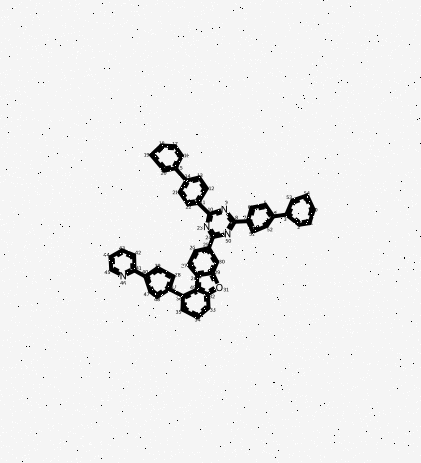 c1ccc(-c2ccc(-c3nc(-c4ccc(-c5ccccc5)cc4)nc(-c4ccc5c(c4)oc4cccc(-c6ccc(-c7ccccn7)cc6)c45)n3)cc2)cc1